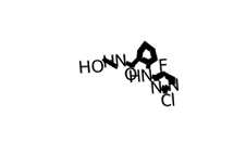 O=C(NCCO)c1ccccc1Nc1nc(Cl)ncc1F